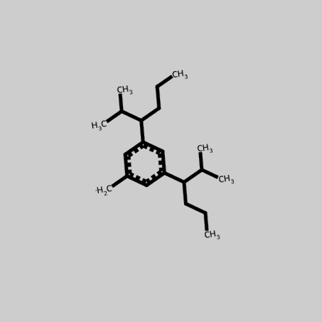 [CH2]c1cc(C(CCC)C(C)C)cc(C(CCC)C(C)C)c1